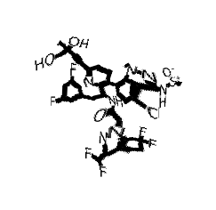 Cn1nc(N[S+](C)[O-])c2c(Cl)ccc(-c3ccc(C#CC(C)(O)CO)nc3C(Cc3cc(F)cc(F)c3)NC(=O)Cn3nc(C(F)F)c4c3C(F)(F)CC4)c21